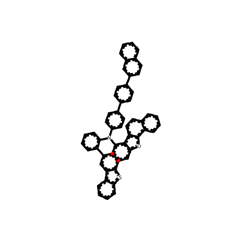 c1ccc(N(c2ccc(-c3ccc(-c4ccc5ccccc5c4)cc3)cc2)c2cccc3oc4c5ccccc5ccc4c23)c(-c2ccc3sc4ccccc4c3c2)c1